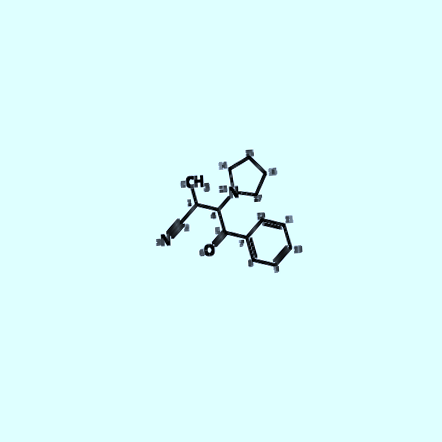 CC(C#N)C(C(=O)c1ccccc1)N1CCCC1